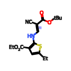 CCOC(=O)c1cc(CC)sc1N/C=C(\C#N)C(=O)OC(C)(C)C